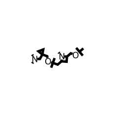 CN(C)CC1(COC(C)(C)CC2CC(COC(C)(C)C)N2C)CC1